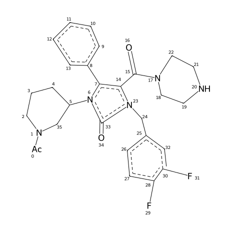 CC(=O)N1CCCC(n2c(-c3ccccc3)c(C(=O)N3CCNCC3)n(Cc3ccc(F)c(F)c3)c2=O)C1